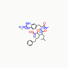 CNC(=O)C(Cc1ccc(NC(=N)N)cc1)NC(=O)C(CC(C)C)C(CCCc1ccccc1)C(=O)NO